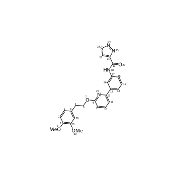 COc1ccc(CCOc2cccc(-c3cccc(NC(=O)c4csnn4)c3)n2)cc1OC